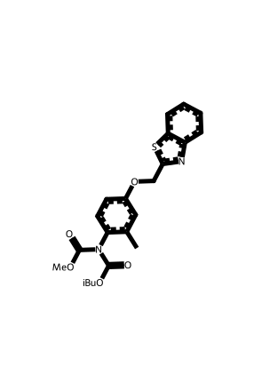 COC(=O)N(C(=O)OCC(C)C)c1ccc(OCc2nc3ccccc3s2)cc1C